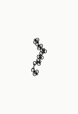 CC(C)(c1ccc(Oc2ccc(N3C(=O)c4ccccc4C3=O)cc2)cc1)c1ccc(Oc2ccc(N3C(=O)c4cccc(-c5ccc6c(c5)C(=O)N(c5ccc(Oc7cccc(N8C(=O)c9cccc(-c%10ccc%11c(c%10)C(=O)N(c%10ccc(Oc%12cccc(N%13C(=O)c%14ccccc%14C%13=O)c%12)cc%10)C%11=O)c9C8=O)c7)cc5)C6=O)c4C3=O)cc2)cc1